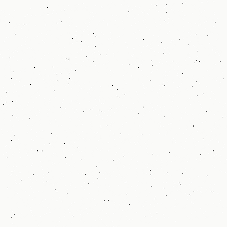 COc1cc(C)c(-c2nc3ccc(C(=N)N)cc3[nH]2)c(O)c1OC